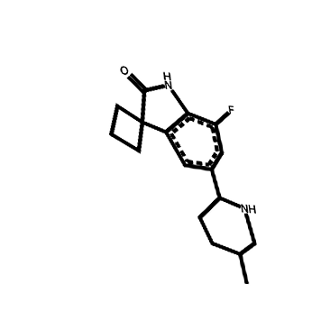 CC1CCC(c2cc(F)c3c(c2)C2(CCC2)C(=O)N3)NC1